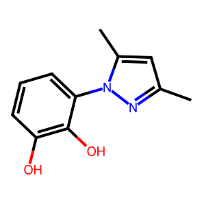 Cc1cc(C)n(-c2cccc(O)c2O)n1